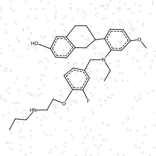 CCCNCCOc1ccc(CN(CC)c2cc(OC)ccc2C2CCc3cc(O)ccc3C2)cc1F